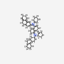 c1ccc(N(c2ccc3c(ccc4ccccc43)c2)c2cccc3c(N(c4ccccc4)c4ccc5ccc6ccccc6c5c4)cccc23)cc1